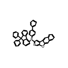 c1ccc(-c2ccc(N(c3cc4c(cn3)oc3cc5ccccc5cc34)c3cccc4c3-c3ccccc3C4(c3ccccc3)c3ccccc3)cc2)cc1